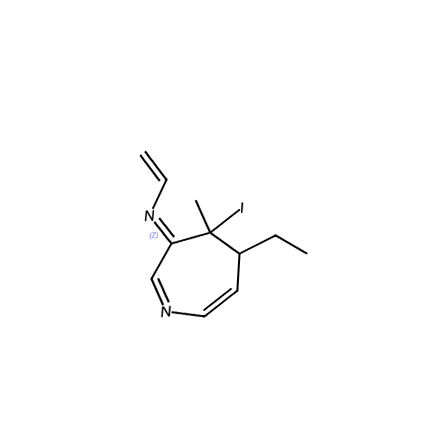 C=C/N=C1/C=NC=CC(CC)C1(C)I